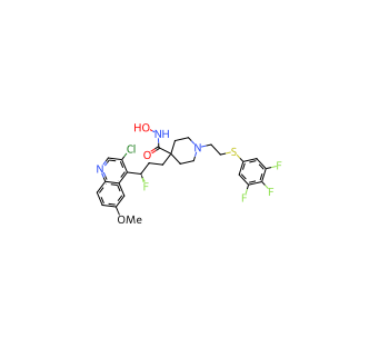 COc1ccc2ncc(Cl)c([C@H](F)CCC3(C(=O)NO)CCN(CCSc4cc(F)c(F)c(F)c4)CC3)c2c1